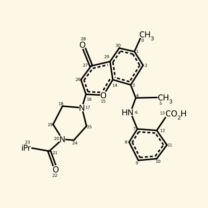 Cc1cc(C(C)Nc2ccccc2C(=O)O)c2oc(N3CCN(C(=O)C(C)C)CC3)cc(=O)c2c1